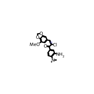 COc1cc(/C=C(/Cl)C(=O)c2ccc(N(C)C)c(N)c2)cc2c1OCO2